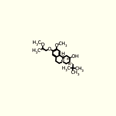 COc1cc2c(cc1OC[C@@H](C)OC)CCN1C[C@@H](CC(C)(C)C)[C@H](O)C[C@H]21